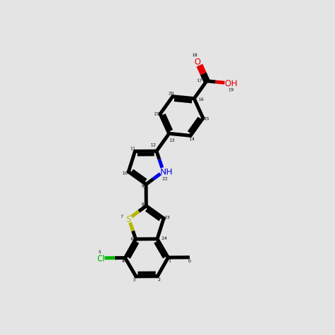 Cc1ccc(Cl)c2sc(-c3ccc(-c4ccc(C(=O)O)cc4)[nH]3)cc12